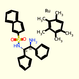 Cc1cc(C)c(C)c(C)c1C.N[C@@H](c1ccccc1)[C@@H](NS(=O)(=O)c1ccc2ccccc2c1)c1ccccc1.[Ru]